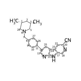 C[C@@H]1C[C@H](C)CN(Cc2ccc(-c3cnc4[nH]c5cnc(C#N)cc5c4c3)cc2)C1